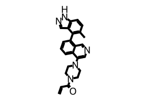 C=CC(=O)N1CCN(c2cncc3c(-c4c(C)ccc5[nH]ncc45)cccc23)CC1